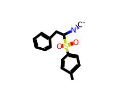 [C-]#[N+]C(Cc1ccccc1)S(=O)(=O)c1ccc(C)cc1